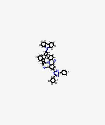 N#Cc1cc(-c2nc(-c3ccccc3)nc(-c3ccccc3)n2)cc(C#N)c1N1c2ccccc2C2(c3ccccc3-c3cc(-n4c5ccccc5c5ccccc54)ccc32)c2ccccc21